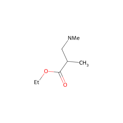 CCOC(=O)C(C)CNC